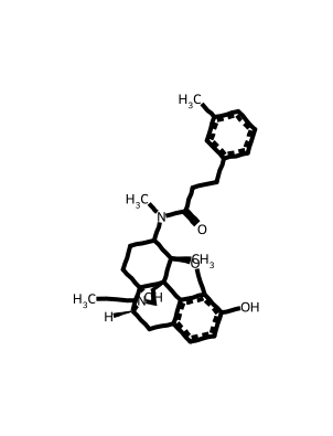 Cc1cccc(CCC(=O)N(C)C2CC[C@@]3(O)[C@H]4Cc5ccc(O)c6c5[C@@]3(CCN4C)C2(C)O6)c1